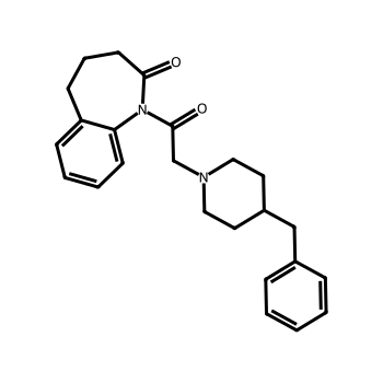 O=C1CCCc2ccccc2N1C(=O)CN1CCC(Cc2ccccc2)CC1